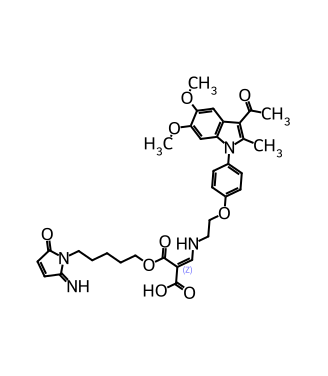 COc1cc2c(C(C)=O)c(C)n(-c3ccc(OCCN/C=C(/C(=O)O)C(=O)OCCCCCN4C(=N)C=CC4=O)cc3)c2cc1OC